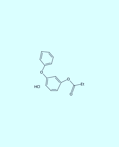 CCC(=O)Oc1cccc(Oc2ccccc2)c1.Cl